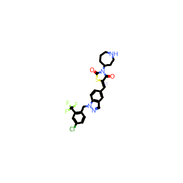 O=C1S/C(=C\c2ccc3c(cnn3Cc3ccc(Cl)cc3C(F)(F)F)c2)C(=O)N1C1CCCNCC1